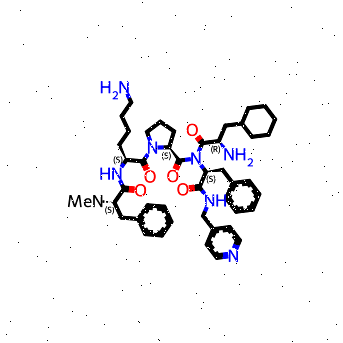 CN[C@@H](Cc1ccccc1)C(=O)N[C@@H](CCCCN)C(=O)N1CCC[C@H]1C(=O)N(C(=O)[C@H](N)CC1CCCCC1)[C@@H](Cc1ccccc1)C(=O)NCc1ccncc1